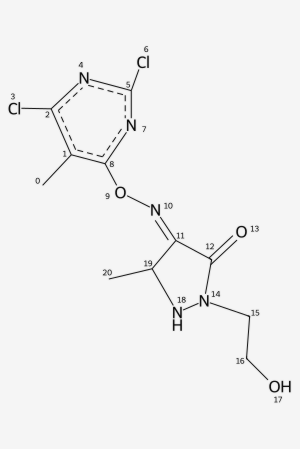 Cc1c(Cl)nc(Cl)nc1ON=C1C(=O)N(CCO)NC1C